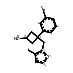 Cc1cnnn1CC1(c2cccc(Br)c2)CC(O)C1